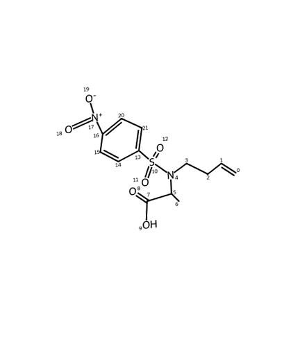 C=CCCN(C(C)C(=O)O)S(=O)(=O)c1ccc([N+](=O)[O-])cc1